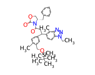 CCn1nnc2c(C)c(C(CC(=O)N3C(=O)OC[C@@H]3Cc3ccccc3)c3ccc(C)c(CO[Si](C)(C)C(C)(C)C)c3)ccc21